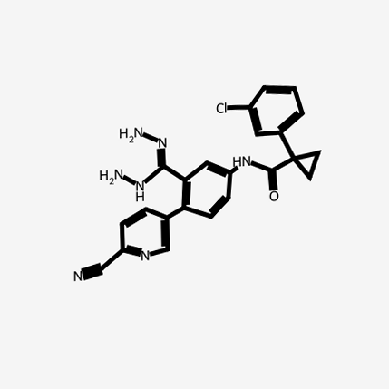 N#Cc1ccc(-c2ccc(NC(=O)C3(c4cccc(Cl)c4)CC3)cc2/C(=N/N)NN)cn1